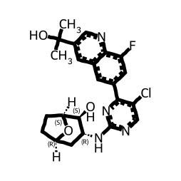 CC(C)(O)c1cnc2c(F)cc(-c3nc(N[C@@H]4C[C@H]5CC[C@H](O5)[C@H]4O)ncc3Cl)cc2c1